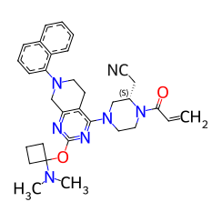 C=CC(=O)N1CCN(c2nc(OC3(N(C)C)CCC3)nc3c2CCN(c2cccc4ccccc24)C3)C[C@@H]1CC#N